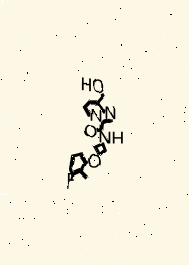 Cc1c(F)cccc1O[C@H]1C[C@H](NC(=O)c2cnc3c(CO)cccn23)C1